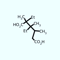 CCC(C)(C(=O)O)C(C)(CC)C(C)CC(=O)O